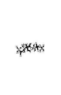 CCC(C)(C(C)O[Si](C)(C)C(C)(C)O[Si](C)(C)C)[SiH](C)OC(C)[Si](C)(C)C